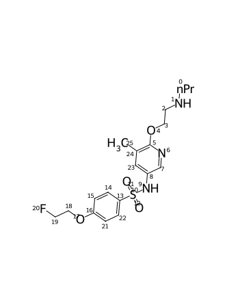 CCCNCCOc1ncc(NS(=O)(=O)c2ccc(OCCF)cc2)cc1C